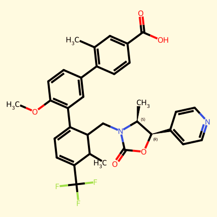 COc1ccc(-c2ccc(C(=O)O)cc2C)cc1C1=CC=C(C(F)(F)F)C(C)C1CN1C(=O)O[C@H](c2ccncc2)[C@@H]1C